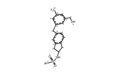 CC(C)S(=O)(=O)NC1Cc2ccc(Cc3cc(CO)cc(C(F)(F)F)c3)cc2C1